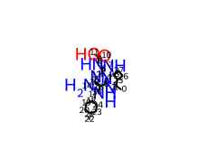 CC(Nc1nc(C(=N)NC(=O)O)nc(N)c1NC[C@H]1CC[C@H](C)CC1)C1CCC1